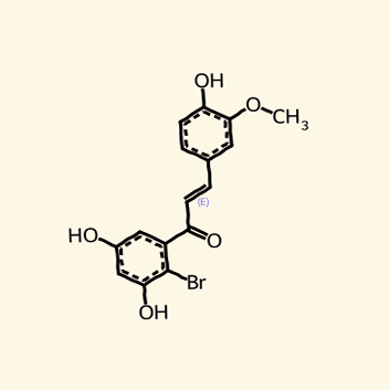 COc1cc(/C=C/C(=O)c2cc(O)cc(O)c2Br)ccc1O